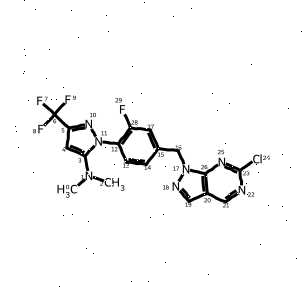 CN(C)c1cc(C(F)(F)F)nn1-c1ccc(Cn2ncc3cnc(Cl)nc32)cc1F